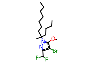 CCCCCCCC(C)(CCCC)n1nc(C(F)F)c(Br)c1OC